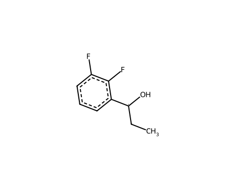 CC[C](O)c1cccc(F)c1F